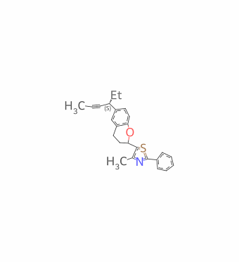 CC#C[C@@H](CC)c1ccc2c(c1)CCC(c1sc(-c3ccccc3)nc1C)O2